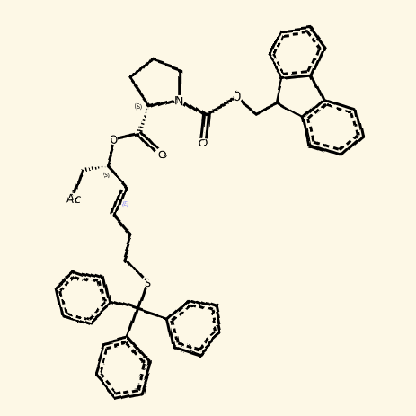 CC(=O)C[C@@H](/C=C/CCSC(c1ccccc1)(c1ccccc1)c1ccccc1)OC(=O)[C@@H]1CCCN1C(=O)OCC1c2ccccc2-c2ccccc21